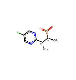 C[C@H](c1ncc(F)cn1)[C@H](C)[SH](=O)=O